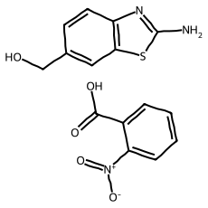 Nc1nc2ccc(CO)cc2s1.O=C(O)c1ccccc1[N+](=O)[O-]